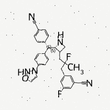 CC(F)(Cc1cc(F)cc(C#N)c1)CC1CN[C@H]1[C@@H](c1ccc(C#N)cc1)c1ccc(N2C=CON2)cc1